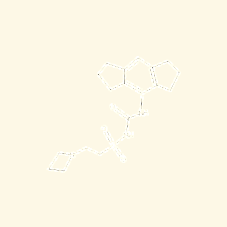 O=C(Nc1c2c(cc3c1CCC3)CCC2)NS(=O)(=O)CCN1CCC1